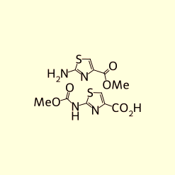 COC(=O)Nc1nc(C(=O)O)cs1.COC(=O)c1csc(N)n1